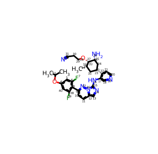 CC(C)Oc1cc(F)c(-c2ccc3cnc(Nc4cnccc4[C@H]4C[C@@H](N)[C@@H](OCCC#N)[C@@H](C)C4)n3n2)c(F)c1